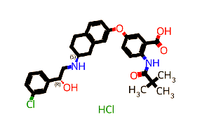 CC(C)(C)C(=O)Nc1ccc(Oc2ccc3c(c2)C[C@@H](NC[C@H](O)c2cccc(Cl)c2)CC3)cc1C(=O)O.Cl